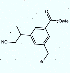 COC(=O)c1cc(CBr)cc(C(C)CC#N)c1